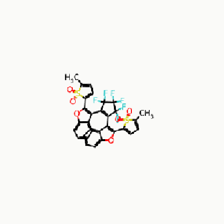 CC1=CC=C(c2oc3ccccc3c2C2=C(c3c(C4=CC=C(C)S4(=O)=O)oc4ccccc34)C(F)(F)C(F)(F)C2(F)F)S1(=O)=O